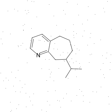 CC(C)C1CCCc2cccnc2C1